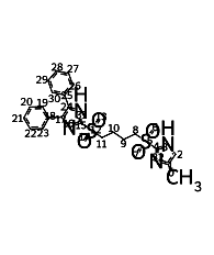 Cc1c[nH]c(S(=O)(=O)CCCCS(=O)(=O)c2nc(-c3ccccc3)c(-c3ccccc3)[nH]2)n1